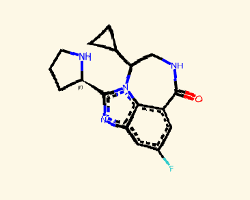 O=C1NCC(C2CC2)n2c([C@H]3CCCN3)nc3cc(F)cc1c32